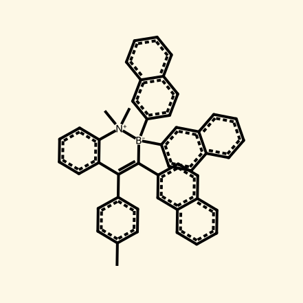 Cc1ccc(C2=C(c3ccc4ccccc4c3)[B-](c3ccc4ccccc4c3)(c3ccc4ccccc4c3)[N+](C)(C)c3ccccc32)cc1